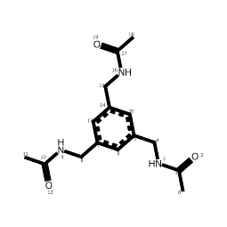 CC(=O)NCc1cc(CNC(C)=O)cc(CNC(C)=O)c1